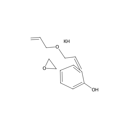 C1CO1.C=CCOCC=C.Oc1ccccc1.[KH]